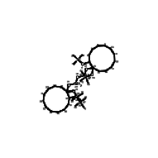 C[Si](C)(C)OC1CCCCCCCCCCC1(O[SiH2]O[SiH2]OC1(O[Si](C)(C)C)CCCCCCCCCCC1O[Si](C)(C)C)O[Si](C)(C)C